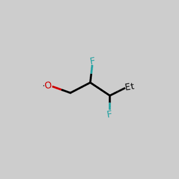 CCC(F)C(F)C[O]